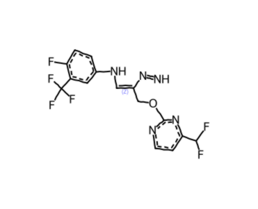 N=N/C(=C\Nc1ccc(F)c(C(F)(F)F)c1)COc1nccc(C(F)F)n1